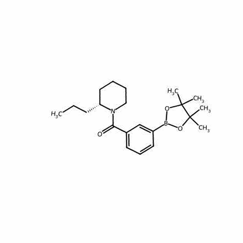 CCC[C@@H]1CCCCN1C(=O)c1cccc(B2OC(C)(C)C(C)(C)O2)c1